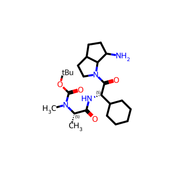 C[C@@H](C(=O)N[C@H](C(=O)N1CCC2CCC(N)C21)C1CCCCC1)N(C)C(=O)OC(C)(C)C